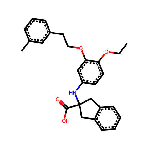 CCOc1ccc(NC2(C(=O)O)Cc3ccccc3C2)cc1OCCc1cccc(C)c1